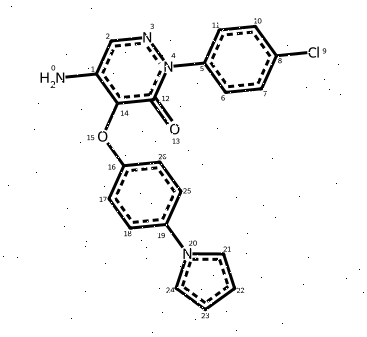 Nc1cnn(-c2ccc(Cl)cc2)c(=O)c1Oc1ccc(-n2cccc2)cc1